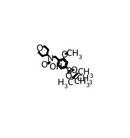 COc1cc(B2OC(C)(C)C(C)(C)O2)ccc1CN(C(=O)O)C1CCOCC1